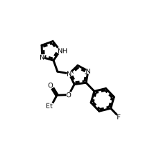 CCC(=O)Oc1c(-c2ccc(F)cc2)ncn1Cc1ncc[nH]1